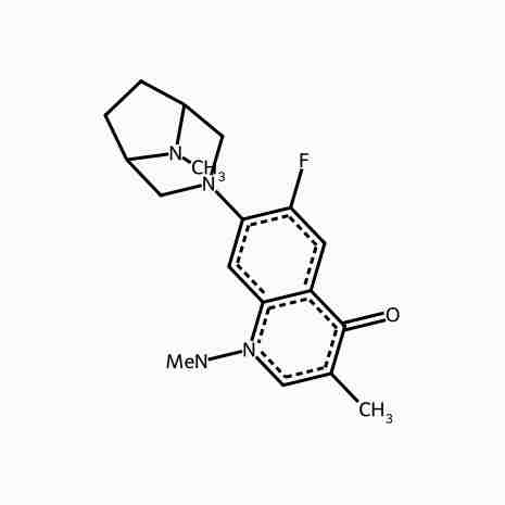 CNn1cc(C)c(=O)c2cc(F)c(N3CC4CCC(C3)N4C)cc21